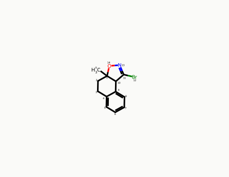 CC12CCc3ccccc3C1C(Br)=NO2